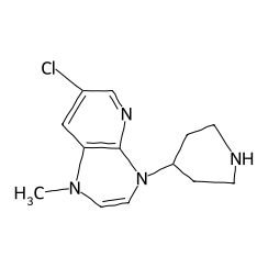 CN1C=CN(C2CCNCC2)c2ncc(Cl)cc21